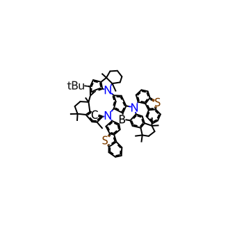 Cc1cc2c3cc1N1c4cc5sc6ccccc6c5cc4B4c5cc6c(cc5N(c5cccc7sc8ccccc8c57)c5cc(cc1c54)N1c4cc(c(C(C)(C)C)cc4C4(C)CCCCC14C)C3(C)CCC2(C)C)C(C)(C)CCC6(C)C